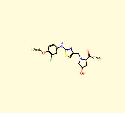 CCCCCOc1ccc(Nc2nc(CN3CC(O)CC3C(=O)OC)cs2)cc1F